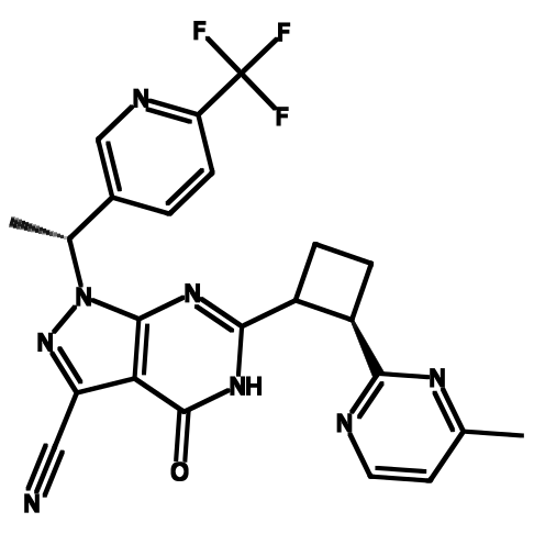 Cc1ccnc([C@@H]2CCC2c2nc3c(c(C#N)nn3[C@H](C)c3ccc(C(F)(F)F)nc3)c(=O)[nH]2)n1